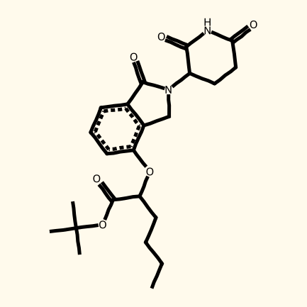 CCCCC(Oc1cccc2c1CN(C1CCC(=O)NC1=O)C2=O)C(=O)OC(C)(C)C